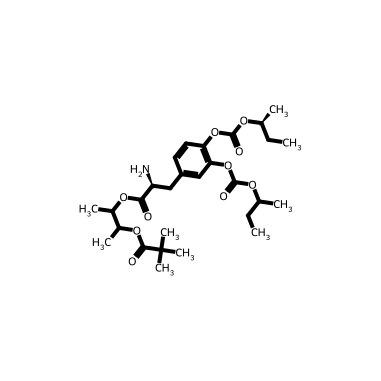 CCC(C)OC(=O)Oc1cc(C[C@H](N)C(=O)OC(C)C(C)OC(=O)C(C)(C)C)ccc1OC(=O)O[C@@H](C)CC